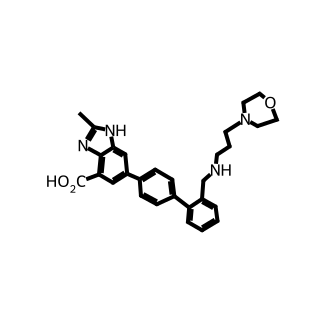 Cc1nc2c(C(=O)O)cc(-c3ccc(-c4ccccc4CNCCCN4CCOCC4)cc3)cc2[nH]1